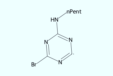 CCCCCNc1n[c]nc(Br)n1